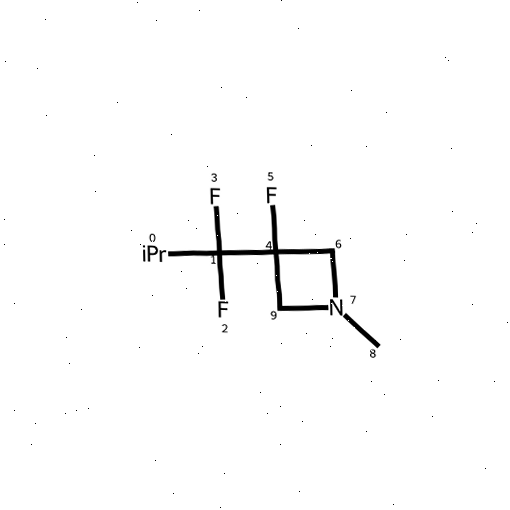 CC(C)C(F)(F)C1(F)CN(C)C1